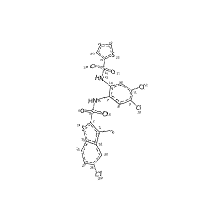 Cc1c(S(=O)(=O)Nc2cc(Cl)c(Cl)cc2NS(=O)(=O)c2cccs2)sc2ccc(Cl)cc12